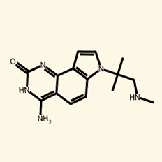 CNCC(C)(C)n1ccc2c3nc(=O)[nH]c(N)c3ccc21